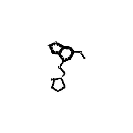 COc1cc(OC[C@@H]2CCCN2)c2c[c]oc2c1